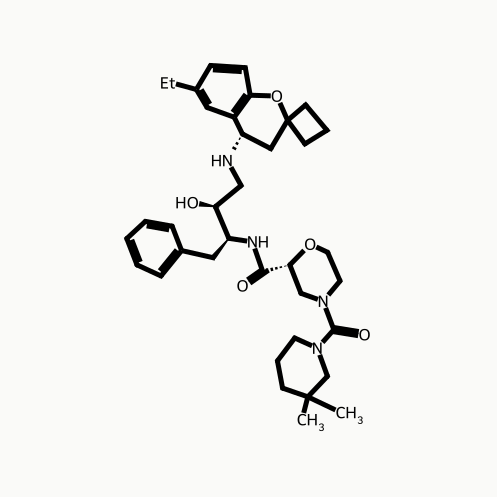 CCc1ccc2c(c1)[C@@H](NC[C@H](O)[C@H](Cc1ccccc1)NC(=O)[C@H]1CN(C(=O)N3CCCC(C)(C)C3)CCO1)CC1(CCC1)O2